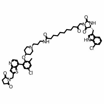 Cc1cc(Cl)cc(-c2ccnc3cc(CN4C(=O)CCC4=O)sc23)c1OC1CCN(CCCNC(=O)CCCCCCCCC(=O)CN2C(=O)N[C@H](Cc3c[nH]c4c(Cl)cccc34)C2=O)CC1